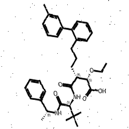 CCO[C@H](C(=O)O)[C@@H](CCCc1ccccc1-c1cccc(C)c1)C(=O)N[C@H](C(=O)N[C@H](C)c1ccccc1)C(C)(C)C